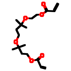 C=CC(=O)OCCOC(C)(C)CCOC(C)(C)CCOC(=O)C=C